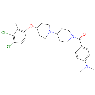 Cc1c(OC2CCN(C3CCN(C(=O)c4ccc(N(C)C)cc4)CC3)CC2)ccc(Cl)c1Cl